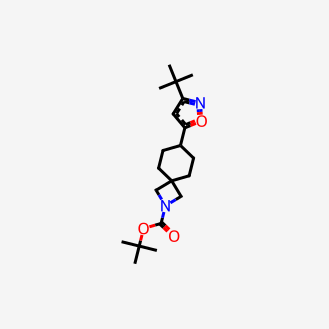 CC(C)(C)OC(=O)N1CC2(CCC(c3cc(C(C)(C)C)no3)CC2)C1